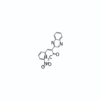 CC(=O)C(=Cc1cccc([N+](=O)[O-])c1)c1cnc2ccccc2n1